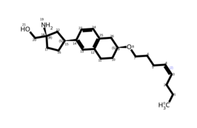 CCC/C=C\CCCO[C@H]1CCc2cc([C@H]3CC[C@](N)(CO)C3)ccc2C1